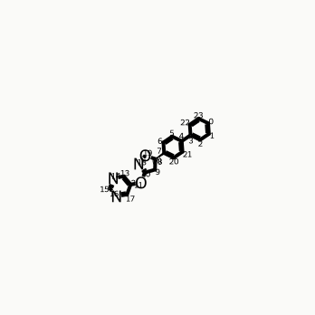 c1ccc(-c2ccc([C@H]3CC(Oc4cncnc4)=NO3)cc2)cc1